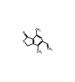 C=Cc1cc(C)c2c(c1C)COC2=O